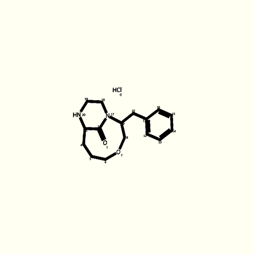 Cl.O=C1C2CCCOCC(Cc3ccccc3)N1CCN2